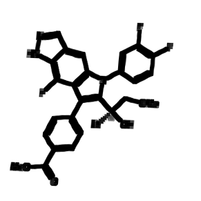 CC[C@@](O)(COC)c1c(-c2ccc(C(=O)OC)cc2)c2c(F)c3[nH]ncc3cc2n1-c1ccc(F)c(F)c1